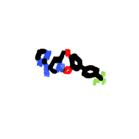 FC(F)(F)c1ccc(-c2ccc3c(c2)ON2CC(Nc4ncccn4)CC2CO3)cc1